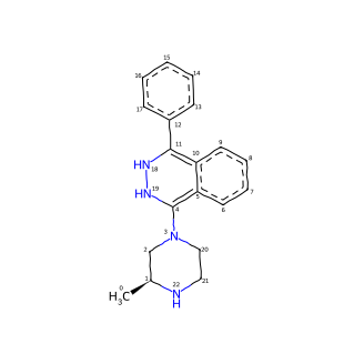 C[C@H]1CN(C2=c3ccccc3=C(c3ccccc3)NN2)CCN1